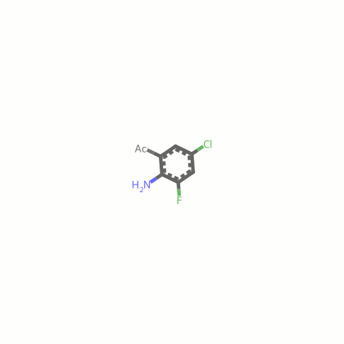 CC(=O)c1cc(Cl)cc(F)c1N